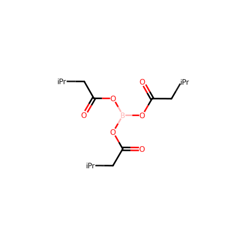 CC(C)CC(=O)OB(OC(=O)CC(C)C)OC(=O)CC(C)C